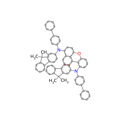 CC1(C)c2ccccc2-c2ccc(N(c3ccc(-c4ccccc4)cc3)c3cccc4c3-c3cccc5c(N(c6ccc(-c7ccccc7)cc6)c6ccc7c(c6)C(C)(C)c6ccccc6-7)ccc(c35)O4)cc21